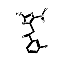 Cc1nc([N+](=O)[O-])c(CC(=O)c2cccc(Br)c2)[nH]1